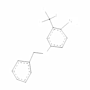 Nc1ccc(OCc2ccccc2)cc1C(F)(F)F